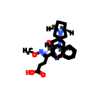 CO/N=C(\CCC(=O)O)c1nc2ccccc2n(C2C[C@H]3CC[C@@H](C2)N3C2C[C@H]3CCC[C@@H](C2)C3)c1=O